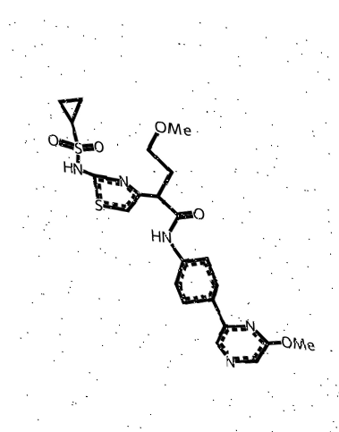 COCCC(C(=O)Nc1ccc(-c2cncc(OC)n2)cc1)c1csc(NS(=O)(=O)C2CC2)n1